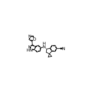 N#Cc1ccc2c(c1)C1(CC1)C[C@@H]2Nc1ccc2[nH]nc(-c3cnco3)c2c1